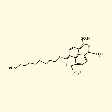 CCCCCCCCCCCCCCCCCCOc1cc(S(=O)(=O)O)c2ccc3c(S(=O)(=O)O)cc(S(=O)(=O)O)c4ccc1c2c43